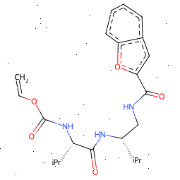 C=COC(=O)N[C@H](C(=O)N[C@H](CNC(=O)c1cc2ccccc2o1)C(C)C)C(C)C